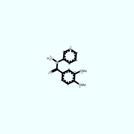 COc1ccc(C(=O)N(C)c2cccnc2)cc1OC